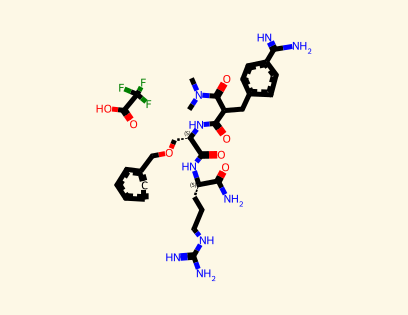 CN(C)C(=O)C(Cc1ccc(C(=N)N)cc1)C(=O)N[C@@H](COCc1ccccc1)C(=O)N[C@@H](CCCNC(=N)N)C(N)=O.O=C(O)C(F)(F)F